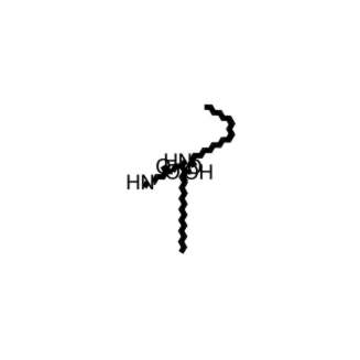 CCCCC/C=C\C/C=C\CCCCCCCC(=O)NC(COC(=O)CCCNC)C(O)/C=C/CCCCCCCCCCCCC